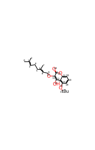 CC(C)=CCC/C(C)=C/COc1c(O)c2c(OC(C)(C)C)cccc2oc1=O